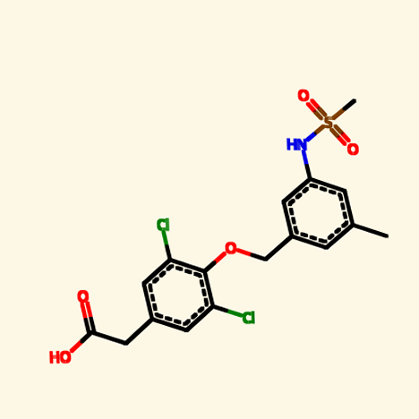 Cc1cc(COc2c(Cl)cc(CC(=O)O)cc2Cl)cc(NS(C)(=O)=O)c1